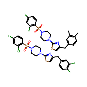 Cc1ccc(Cc2csc(N3CCN(S(=O)(=O)c4ccc(F)cc4Cl)CC3)n2)cc1C.O=S(=O)(c1ccc(F)cc1Cl)N1CCN(c2nc(Cc3ccc(F)c(F)c3)cs2)CC1